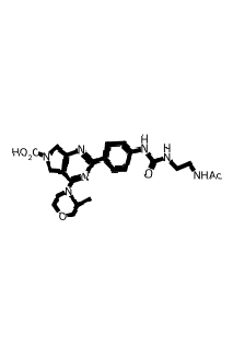 CC(=O)NCCNC(=O)Nc1ccc(-c2nc3c(c(N4CCOCC4C)n2)CN(C(=O)O)C3)cc1